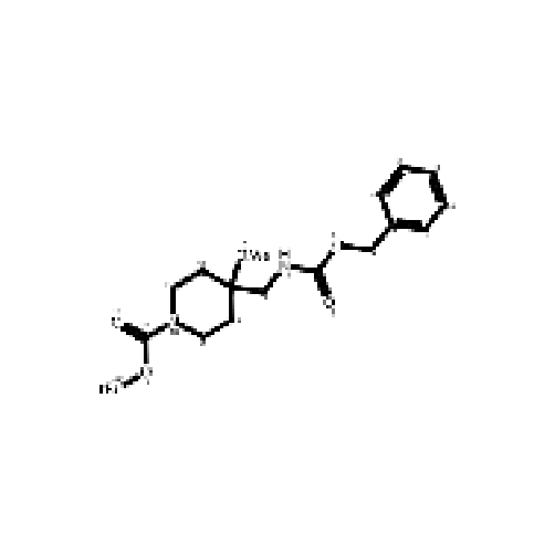 COC1(CNC(=O)OCc2ccccc2)CCN(C(=O)OC(C)(C)C)CC1